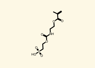 C=C(C)C(=O)OCCNC(=O)OCCS(=O)(=O)O